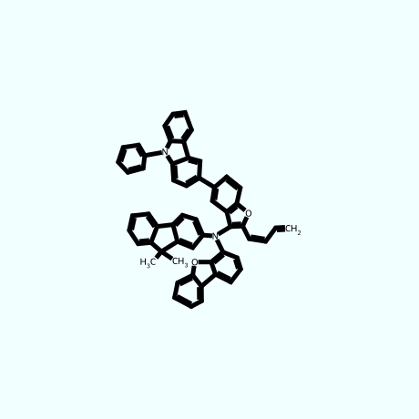 C=C/C=C\c1oc2ccc(-c3ccc4c(c3)c3ccccc3n4-c3ccccc3)cc2c1N(c1ccc2c(c1)C(C)(C)c1ccccc1-2)c1cccc2c1oc1ccccc12